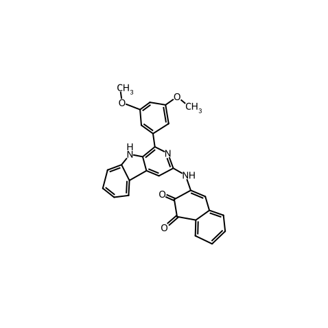 COc1cc(OC)cc(-c2nc(NC3=Cc4ccccc4C(=O)C3=O)cc3c2[nH]c2ccccc23)c1